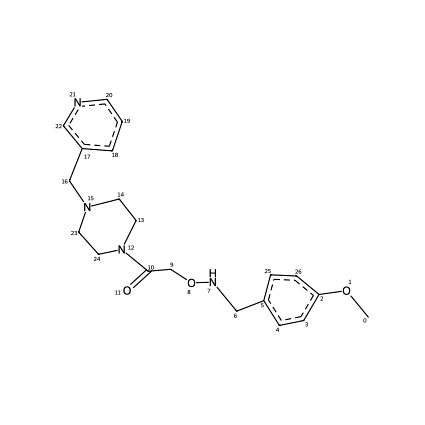 COc1ccc(CNOCC(=O)N2CCN(Cc3cccnc3)CC2)cc1